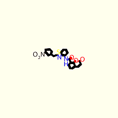 O=C(Nc1cccc2sc(Cc3cccc([N+](=O)[O-])c3)nc12)c1cccc2ccc(=O)oc12